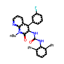 CCCCn1c(=O)c(NC(=O)Nc2c(C(C)C)cccc2C(C)C)c(-c2cccc(F)c2)c2cccnc21